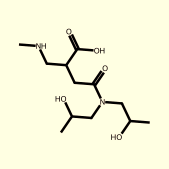 CNCC(CC(=O)N(CC(C)O)CC(C)O)C(=O)O